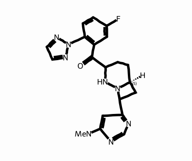 CNc1cc(C2C[C@@H]3CCC(C(=O)c4cc(F)ccc4-n4nccn4)NN23)ncn1